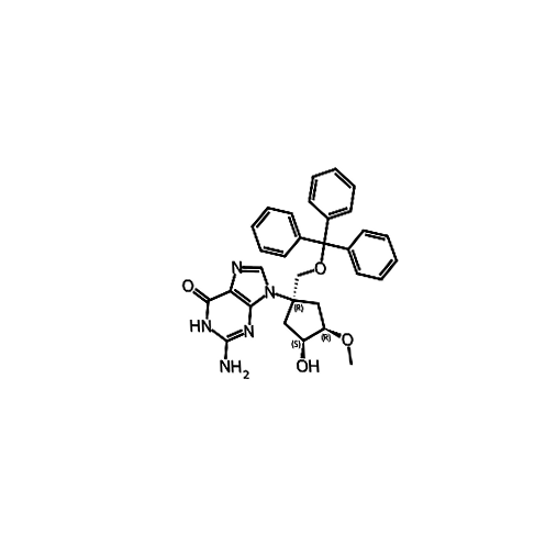 CO[C@@H]1C[C@](COC(c2ccccc2)(c2ccccc2)c2ccccc2)(n2cnc3c(=O)[nH]c(N)nc32)C[C@@H]1O